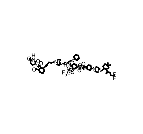 C=C(CCC(F)F)C1=C(CN2CCN(c3ccc(C(=O)NS(=O)(=O)c4ccc(N[C@H](CCN5CCN(CCCC#Cc6cccc7c6C(=O)N(C6CCC(=O)NC6=O)C7=O)CC5)CSc5ccccc5)c(S(=O)(=O)C(F)(F)F)c4)cc3)CC2)CCC(C)(C)C1